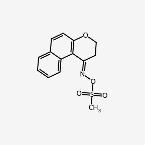 CS(=O)(=O)ON=C1CCOc2ccc3ccccc3c21